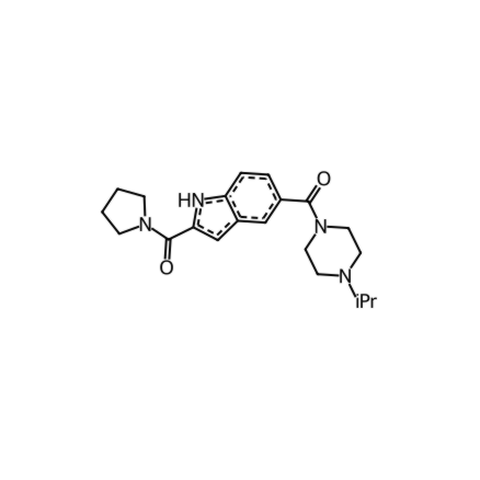 CC(C)N1CCN(C(=O)c2ccc3[nH]c(C(=O)N4CCCC4)cc3c2)CC1